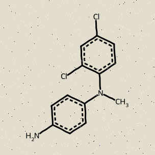 CN(c1ccc(N)cc1)c1ccc(Cl)cc1Cl